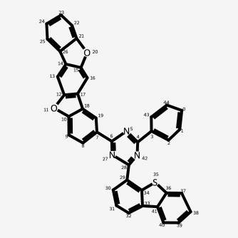 c1ccc(-c2nc(-c3ccc4oc5cc6c(cc5c4c3)oc3ccccc36)nc(-c3cccc4c3sc3ccccc34)n2)cc1